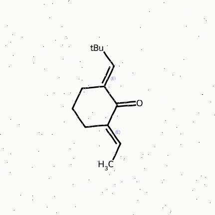 C/C=C1\CCC/C(=C\C(C)(C)C)C1=O